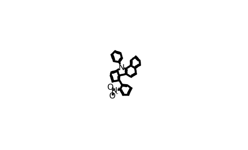 O=[N+]([O-])c1ccccc1-c1cccc2c1c1ccc3ccccc3c1n2-c1ccccc1